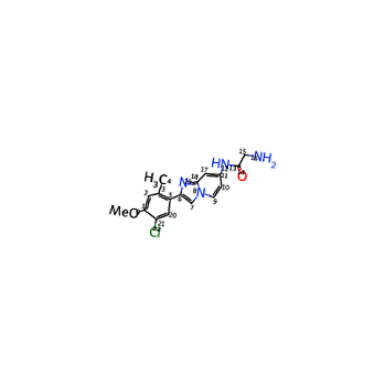 COc1cc(C)c(-c2cn3ccc(NC(=O)CN)cc3n2)cc1Cl